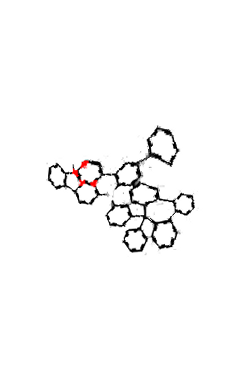 CC1(C)c2ccccc2-c2ccc(N(c3cccc(C4(c5ccccc5)c5ccccc5-c5ccccc5-c5ccccc54)c3)c3ccc(-c4ccccc4)cc3-c3ccccc3)cc21